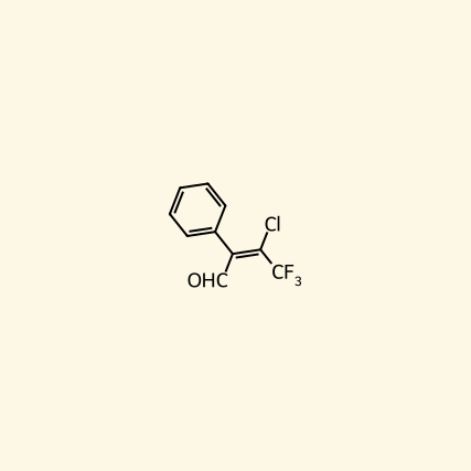 O=CC(=C(Cl)C(F)(F)F)c1ccccc1